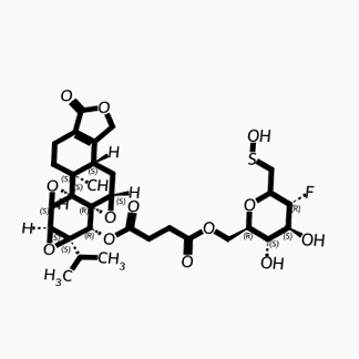 CC(C)[C@]12O[C@H]1[C@@H]1O[C@]13[C@]1(O[C@H]1C[C@H]1C4=C(CC[C@@]13C)C(=O)OC4)[C@@H]2OC(=O)CCC(=O)OC[C@H]1OC(CSO)[C@H](F)[C@@H](O)[C@@H]1O